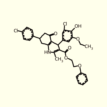 CCOc1cc(C2C(C(=O)OCCOc3ccccc3)=C(C)NC3=C2C(=O)CC(c2ccc(Cl)cc2)C3)cc(Cl)c1O